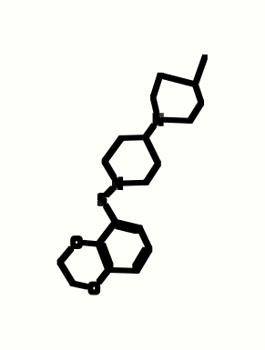 CC1CCN(C2CCN(Sc3cccc4c3OCCO4)CC2)CC1